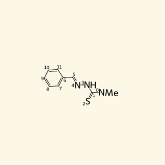 CNC(=S)N/N=C/c1ccccc1